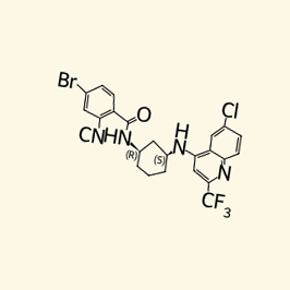 N#Cc1cc(Br)ccc1C(=O)N[C@@H]1CCC[C@H](Nc2cc(C(F)(F)F)nc3ccc(Cl)cc23)C1